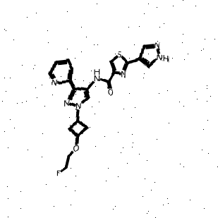 O=C(Nc1cn(C2CC(OCCF)C2)nc1-c1ccccn1)c1csc(-c2cn[nH]c2)n1